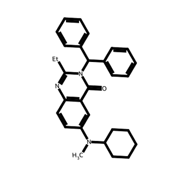 CCc1nc2ccc(N(C)C3CCCCC3)cc2c(=O)n1C(c1ccccc1)c1ccccc1